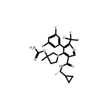 C[C@H](NC(=O)c1cnc(C(F)(F)F)c(-c2cc(F)cc(F)c2)c1N1CCC(C)(OC(N)=O)C1)C1CC1